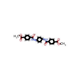 COC(=O)c1ccc(C(=O)Nc2ccc(NC(=O)c3ccc(C(=O)OC)cc3)cc2)cc1